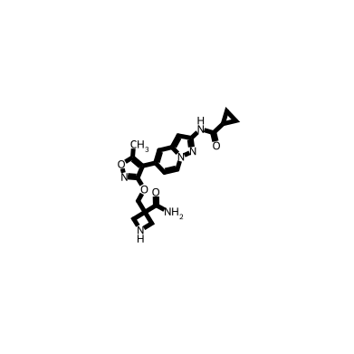 Cc1onc(OCC2(C(N)=O)CNC2)c1-c1ccn2nc(NC(=O)C3CC3)cc2c1